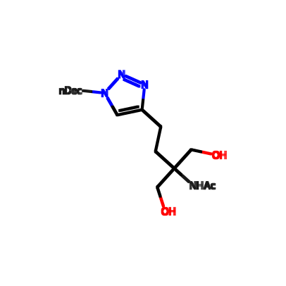 CCCCCCCCCCn1cc(CCC(CO)(CO)NC(C)=O)nn1